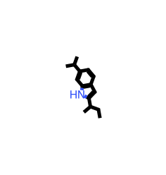 CCC(C)c1cc2ccc(C(C)C)cc2[nH]1